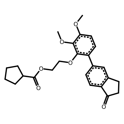 COc1ccc(-c2ccc3c(c2)CCC3=O)c(OCCOC(=O)C2CCCC2)c1OC